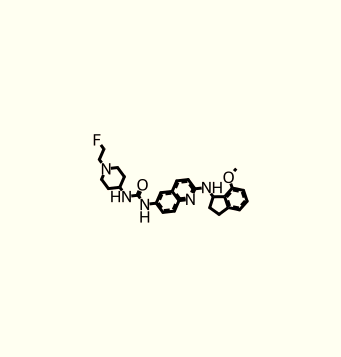 COc1cccc2c1C(Nc1ccc3cc(NC(=O)NC4CCN(CCF)CC4)ccc3n1)CC2